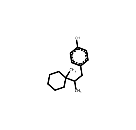 CC(Cc1ccc(O)cc1)C1(C)CCCCC1